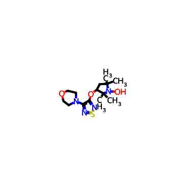 CC1(C)CC(Oc2nsnc2N2CCOCC2)C(C)(C)N1O